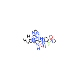 CC(Nc1c(-c2nc3ccc(N4CCCCC4=O)c(F)c3[nH]2)c(=O)[nH]c2cn(C)nc12)c1ncccn1